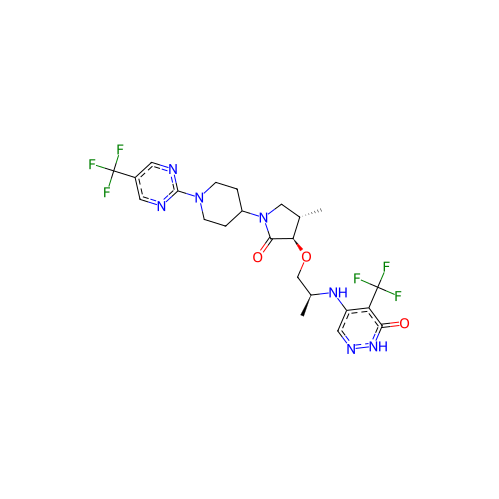 C[C@@H](CO[C@H]1C(=O)N(C2CCN(c3ncc(C(F)(F)F)cn3)CC2)C[C@@H]1C)Nc1cn[nH]c(=O)c1C(F)(F)F